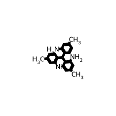 Cc1ccc(C(c2ccc(C)cc2N)c2ccc(C)cc2N)c(N)c1